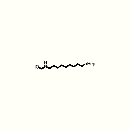 CCCCCCCCCCCCCCCCNCO